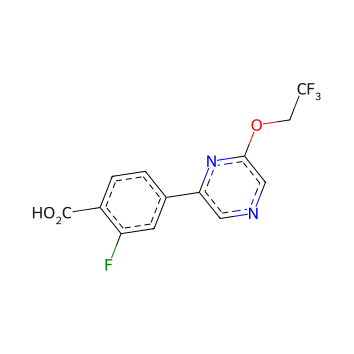 O=C(O)c1ccc(-c2cncc(OCC(F)(F)F)n2)cc1F